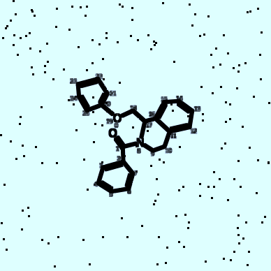 O=C(c1ccccc1)N1CCc2ccccc2C1COc1ccccc1